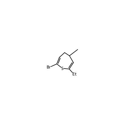 CCC1=CC(C)CC=C(Br)S1